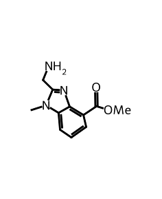 COC(=O)c1cccc2c1nc(CN)n2C